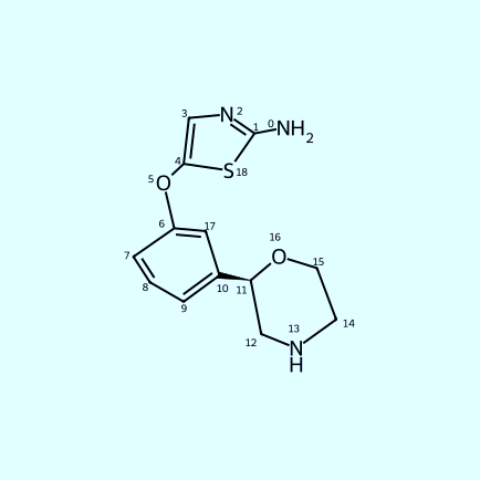 Nc1ncc(Oc2cccc([C@@H]3CNCCO3)c2)s1